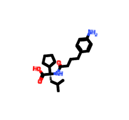 CC(C)C[C@](NC(=O)CCCc1ccc(N)cc1)(C(=O)O)C1CCCC1